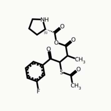 CC(=O)SC(C(=O)c1cccc(F)c1)C(C)C(=O)OC(=O)[C@@H]1CCCN1